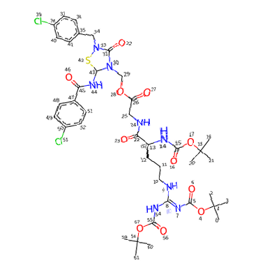 CC(C)(C)OC(=O)/N=C(\NCCC[C@H](NC(=O)OC(C)(C)C)C(=O)NCC(=O)OCN1C(=O)N(Cc2ccc(Cl)cc2)SC1NC(=O)c1ccc(Cl)cc1)NC(=O)OC(C)(C)C